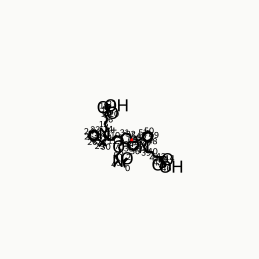 CC(=O)N(C)CCOC1=C(/C=C/C2=[N+](CCCCS(=O)(=O)O)c3ccccc3C2(C)C)CCC/C1=C\C=C1\N(CCCCS(=O)(=O)O)c2ccccc2C1(C)C